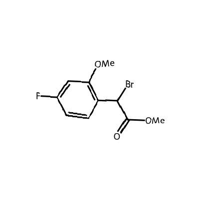 COC(=O)C(Br)c1ccc(F)cc1OC